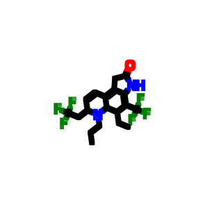 CCCN1C(CC(F)(F)F)C=CC2=C3CC(=O)NC3=C(C(F)(F)F)C(CC)C21